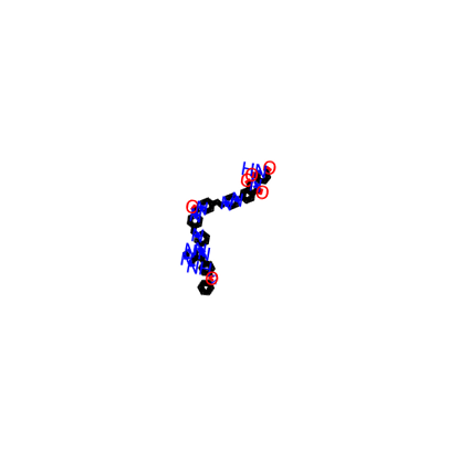 Nc1ncnc2c1c(-c1ccc(Oc3ccccc3)cc1)nn2[C@@H]1CCCN(CC2CCN(C(=O)N3CCC(CCN4CCN(c5ccc6c(c5)C(=O)N(C5CCC(=O)NC5=O)C6=O)CC4)CC3)CC2)C1